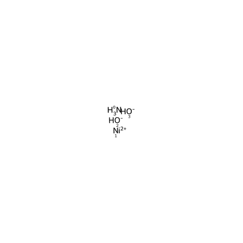 N.[Ni+2].[OH-].[OH-]